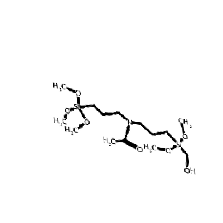 CO[Si](CO)(CCCN(CCC[Si](OC)(OC)OC)C(C)=O)OC